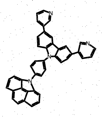 c1cncc(-c2ccc3c(c2)c2cc(-c4cccnc4)ccc2n3-c2ccc(-n3c4cccc5ccc6cccc3c6c54)cc2)c1